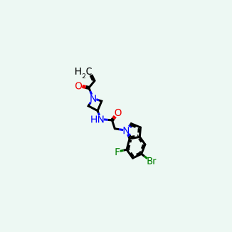 C=CC(=O)N1CC(NC(=O)Cn2ccc3cc(Br)cc(F)c32)C1